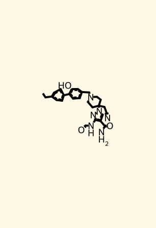 CCc1ccc(-c2ccc(CN3CCC(CC#N)(n4cc(C(N)=O)c(NC=O)n4)CC3)cc2O)cc1